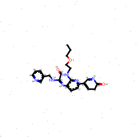 CCCOCCNc1nc(C2=CCC(=O)N=C2)ccc1/N=C(\C=O)NCc1cccnc1